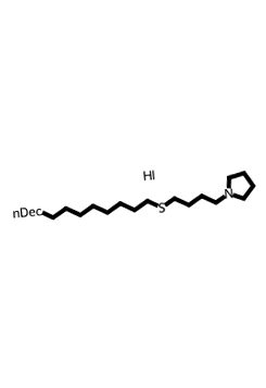 CCCCCCCCCCCCCCCCCCSCCCCN1CCCC1.I